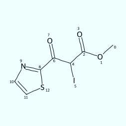 COC(=O)C(I)C(=O)c1nccs1